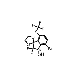 O[C@H]1c2c(Br)ccc(SC(F)(F)F)c2C2(OCCO2)C1(F)F